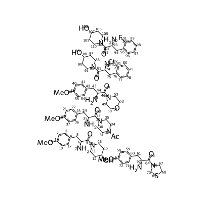 COc1ccc(C[C@H](N)C(=O)N2CCC(O)CC2)cc1.COc1ccc(C[C@H](N)C(=O)N2CCN(C(C)=O)CC2)cc1.COc1ccc(C[C@H](N)C(=O)N2CCOCC2)cc1.COc1ccc(C[C@H](N)C(=O)N2CCSC2)cc1.N[C@@H](Cc1ccccc1Cl)C(=O)N1CCC(O)CC1.N[C@@H](Cc1ccccc1F)C(=O)N1CCC(O)CC1